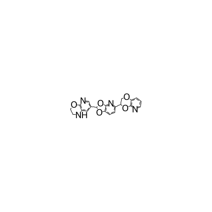 c1cnc2c(c1)OCC(c1ccc3c(n1)OC(c1cnc4c(c1)NCCO4)O3)O2